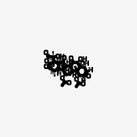 CC(=O)O[C@H]1C[C@H]2[C@@H](C(=O)[C@H](O)[C@@]3(O)C[C@@H]4O[C@@H]4[C@H](OC(C)=O)[C@]23C)[C@@H]2C(=O)[C@@H]3[C@H]([C@H](C)[C@H]4O[C@]45OC(=O)[C@@](C)(O)[C@]35C)[C@@]12C